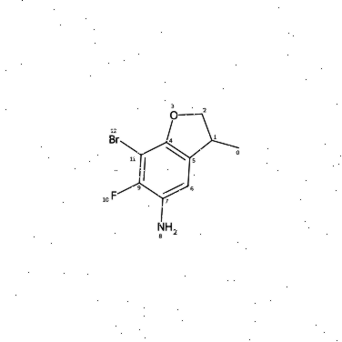 CC1COc2c1cc(N)c(F)c2Br